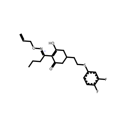 C=CCO/N=C(\CCC)C1=C(O)CC(CCSc2ccc(F)c(F)c2)CC1=O